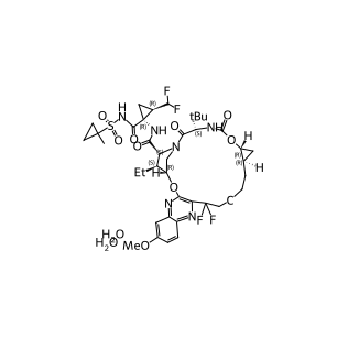 CC[C@@H]1[C@@H]2CN(C(=O)[C@H](C(C)(C)C)NC(=O)O[C@@H]3C[C@H]3CCCCC(F)(F)c3nc4ccc(OC)cc4nc3O2)[C@@H]1C(=O)N[C@]1(C(=O)NS(=O)(=O)C2(C)CC2)C[C@H]1C(F)F.O.O